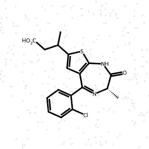 CC(CC(=O)O)c1cc2c(s1)NC(=O)[C@H](C)N=C2c1ccccc1Cl